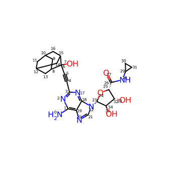 Nc1nc(C#CC2(O)C3CC4CC(C3)CC2C4)nc2c1ncn2[C@@H]1O[C@H](C(=O)NC2CC2)[C@H](O)C1O